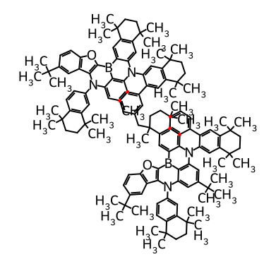 Cc1cc2c3c(c1)N(c1ccc4c(c1)C(C)(C)CCC4(C)C)c1c(oc4ccc(C(C)(C)C)cc14)B3c1cc3c(cc1N2c1cc2c(cc1-c1cccc(CC4(C)CCC(C)(C)c5cc6c(cc54)B4c5oc7ccc(C(C)(C)C)cc7c5N(c5ccc7c(c5)C(C)(C)CCC7(C)C)c5cc(C(C)(C)C)cc(c54)N6c4cc5c(cc4-c4ccccc4)C(C)(C)CCC5(C)C)c1)C(C)(C)CCC2(C)C)C(C)(C)CCC3(C)C